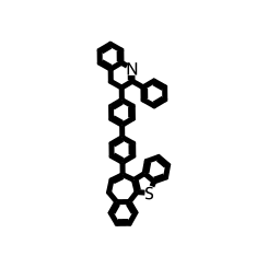 C1=C(c2ccc(-c3ccc(C4Cc5ccccc5N=C4c4ccccc4)cc3)cc2)c2c(sc3ccccc23)-c2ccccc2C1